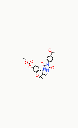 CCOC(=O)Oc1ccc2c(c1)OC(C)(C)C1=CCn3c(=O)n(-c4ccc(C(C)=O)cc4)c(=O)n3C12